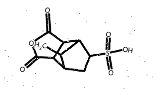 CC1C2CC(S(=O)(=O)O)C1C1C(=O)OC(=O)C21